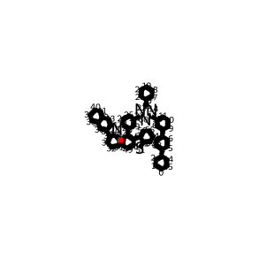 c1ccc(-c2ccc(-c3cccc(-c4nc(-c5ccccc5)nc(-c5ccc(-n6c7ccccc7c7cc8ccccc8cc76)c(-c6cccc7sc8ccccc8c67)c5)n4)c3)cc2)cc1